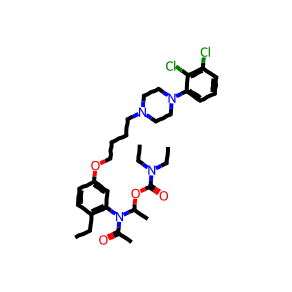 CCc1ccc(OCCCCN2CCN(c3cccc(Cl)c3Cl)CC2)cc1N(C(C)=O)C(C)OC(=O)N(CC)CC